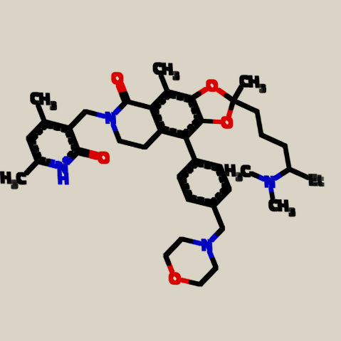 CCC(CCCC1(C)Oc2c(C)c3c(c(-c4ccc(CN5CCOCC5)cc4)c2O1)CCN(Cc1c(C)cc(C)[nH]c1=O)C3=O)N(C)C